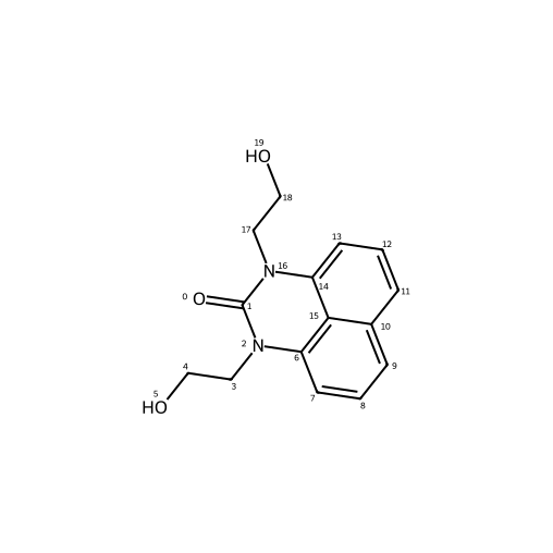 O=C1N(CCO)c2cccc3cccc(c23)N1CCO